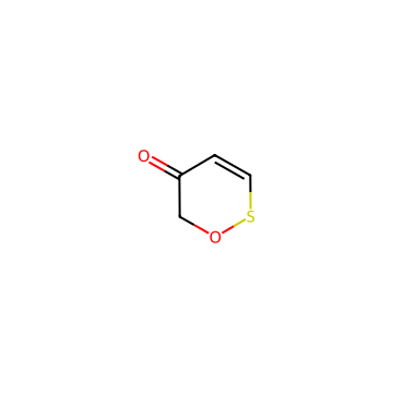 O=C1C=CSOC1